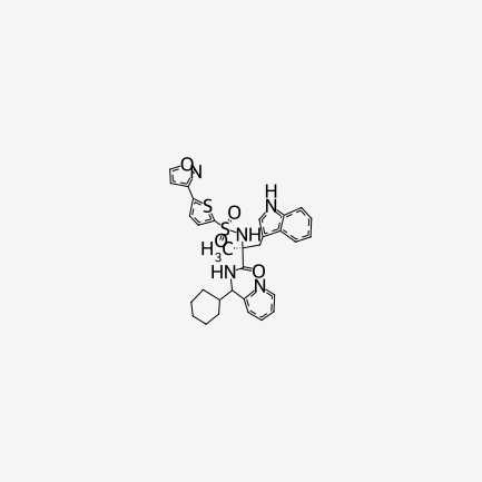 C[C@@](Cc1c[nH]c2ccccc12)(NS(=O)(=O)c1ccc(-c2ccon2)s1)C(=O)NC(c1ccccn1)C1CCCCC1